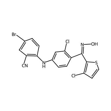 N#Cc1cc(Br)ccc1Nc1ccc(C(=NO)c2sccc2Cl)c(Cl)c1